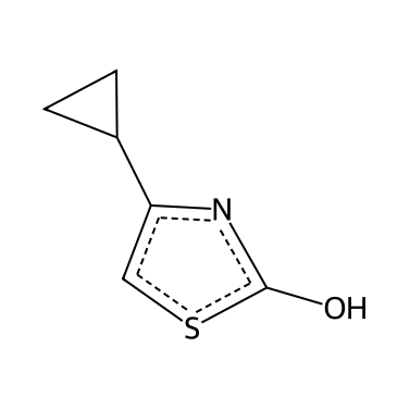 Oc1nc(C2CC2)cs1